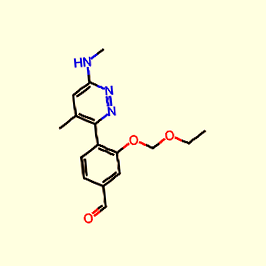 CCOCOc1cc(C=O)ccc1-c1nnc(NC)cc1C